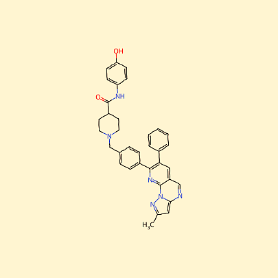 Cc1cc2ncc3cc(-c4ccccc4)c(-c4ccc(CN5CCC(C(=O)Nc6ccc(O)cc6)CC5)cc4)nc3n2n1